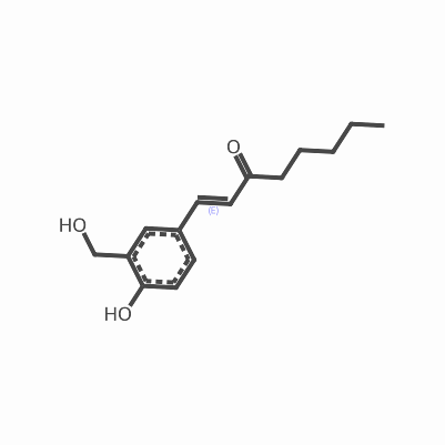 CCCCCC(=O)/C=C/c1ccc(O)c(CO)c1